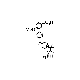 CCNNC(C)C(=O)N1CCC2(CC1)C[C@@H]2c1ccc(-c2cc(C(=O)O)ccc2OC)cc1